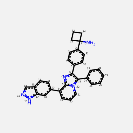 NC1(c2ccc(-c3nc4c(-c5ccc6cn[nH]c6c5)cccn4c3-c3ccccc3)cc2)CCC1